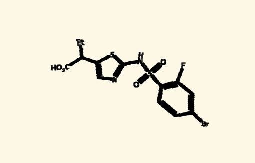 CCC(C(=O)O)c1cnc(NS(=O)(=O)c2ccc(Br)cc2F)s1